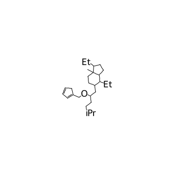 CCC1C(CC(CCC(C)C)OCC2=CC=CC2)CCC2(C)C(CC)CCC12